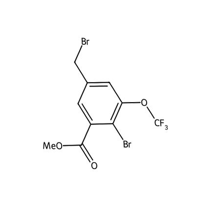 COC(=O)c1cc(CBr)cc(OC(F)(F)F)c1Br